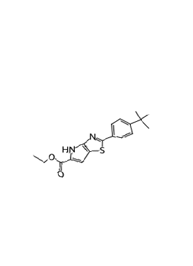 CCOC(=O)c1cc2sc(-c3ccc(C(C)(C)C)cc3)nc2[nH]1